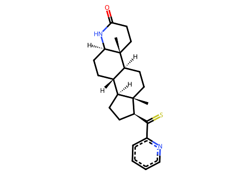 C[C@]12CCC(=O)N[C@@H]1CC[C@@H]1[C@@H]2CC[C@]2(C)[C@@H](C(=S)c3ccccn3)CC[C@@H]12